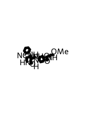 COCCNS(=O)(=O)c1ccc(NC(=N)c2c(N[C@H]3CCCC[C@@H]3C#N)cc[nH]c2=O)cc1